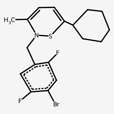 CC1=CC=C(C2CCCCC2)SN1Cc1cc(F)c(Br)cc1F